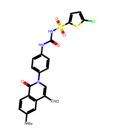 CNc1ccc2c(=O)n(-c3ccc(NC(=O)NS(=O)(=O)c4ccc(Cl)s4)cc3)cc(C=O)c2c1